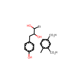 CCC(O)C(O)Cc1ccc(O)cc1.Cc1ccc(C(=O)O)cc1C(=O)O